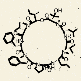 CC[C@@H](C)[C@H]1OC(=O)[C@H](C(C)(C)O)N(C)C(=O)[C@H](CC(C)C)NC(=O)[C@H](C(C)C)N(C)C(=O)[C@H]([C@@H](C)CC)NC(=O)[C@@H]2CCCN2C(=O)[C@H](Cc2ccccc2)N(C)C(=O)[C@H](Cc2ccccc2)NC(=O)[C@H](C(C)C)N(C)C1=O